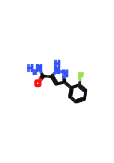 NC(=O)c1cc(-c2ccccc2F)n[nH]1